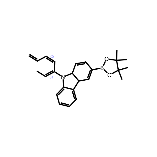 C=C/C=C\C(=C/C)N1c2ccccc2C2C=C(B3OC(C)(C)C(C)(C)O3)C=CC21